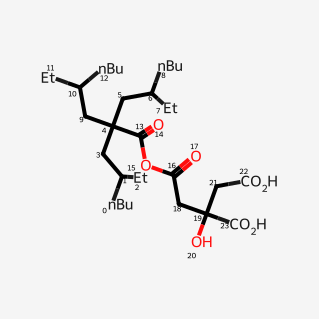 CCCCC(CC)CC(CC(CC)CCCC)(CC(CC)CCCC)C(=O)OC(=O)CC(O)(CC(=O)O)C(=O)O